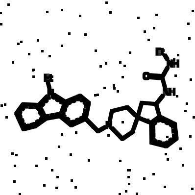 CCNC(=O)NC1CC2(CCN(Cc3ccc4c(c3)c3ccccc3n4CC)CC2)c2ccccc21